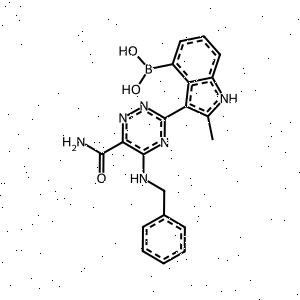 Cc1[nH]c2cccc(B(O)O)c2c1-c1nnc(C(N)=O)c(NCc2ccccc2)n1